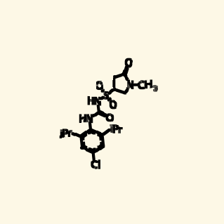 CC(C)c1cc(Cl)cc(C(C)C)c1NC(=O)NS(=O)(=O)C1CC(=O)N(C)C1